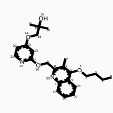 CCCCOc1c(C)c(COc2cc(OCC(C)(C)O)ccn2)nc2ccccc12